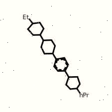 CCCC1CCC(c2ccc(C3CCC(C4CCC(CC)CC4)CC3)cc2)CC1